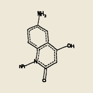 CCCn1c(=O)cc(O)c2cc(N)ccc21